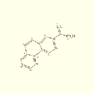 C=C(C(=O)OCC)c1ccc2c(ccc3ccccc32)c1